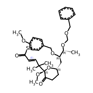 COc1ccc(CO[C@H](C[C@@H]2CCC(=O)[C@](OC)(C(C)(C)/C=C/C(=O)S)O2)[C@@H](C)OCOCc2ccccc2)cc1